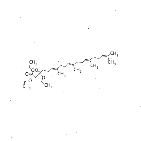 CCOP(=O)(CC/C=C(\C)CC/C=C(\C)CC/C=C(\C)CCC=C(C)C)CP(=O)(OCC)OCC